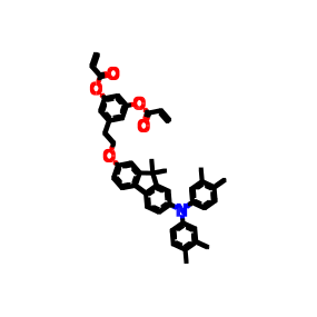 C=CC(=O)Oc1cc(CCOc2ccc3c(c2)C(C)(C)c2cc(N(c4ccc(C)c(C)c4)c4ccc(C)c(C)c4)ccc2-3)cc(OC(=O)C=C)c1